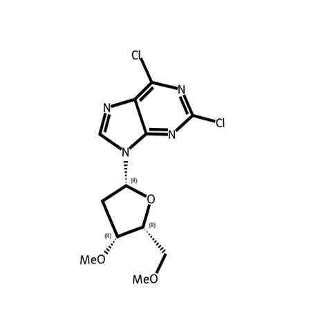 COC[C@H]1O[C@@H](n2cnc3c(Cl)nc(Cl)nc32)C[C@H]1OC